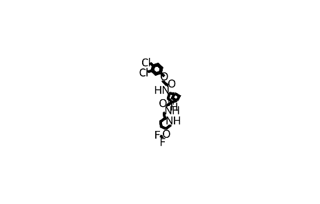 O=C(COc1ccc(Cl)c(Cl)c1)NC1C[C@@H](C(=O)NCC2CCC(OC(F)F)CN2)C2CC1C2